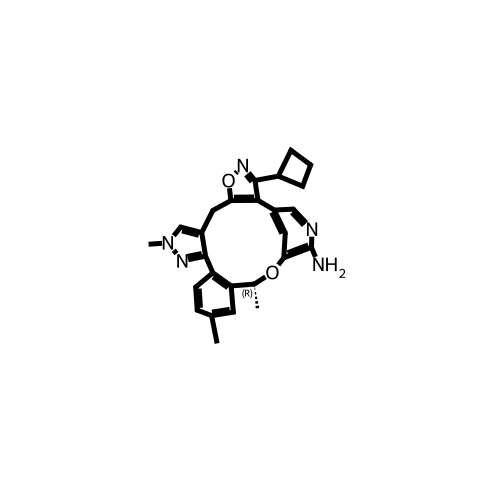 Cc1ccc2c(c1)[C@@H](C)Oc1cc(cnc1N)-c1c(C3CCC3)noc1Cc1cn(C)nc1-2